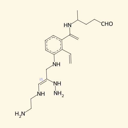 C=Cc1c(NC/C(=C/NCCN)NN)cccc1C(=C)NC(C)CCC=O